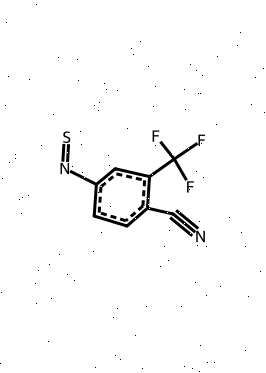 N#Cc1ccc(N=S)cc1C(F)(F)F